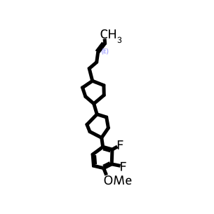 C/C=C/CCC1CCC(C2CCC(c3ccc(OC)c(F)c3F)CC2)CC1